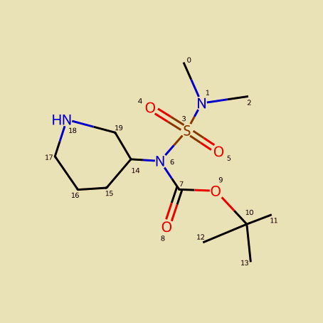 CN(C)S(=O)(=O)N(C(=O)OC(C)(C)C)C1CCCNC1